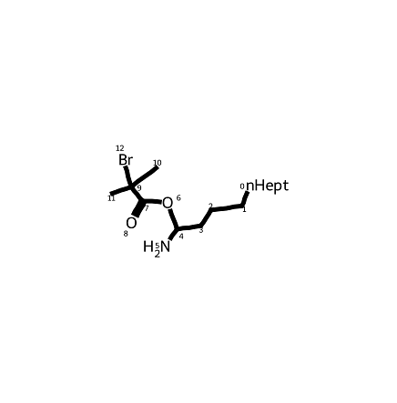 CCCCCCCCCCC(N)OC(=O)C(C)(C)Br